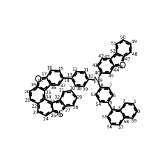 c1ccc2c(-c3ccc(N(c4ccc(-c5ccc6oc7ccc8ccc9sc%10ccccc%10c9c8c7c6c5)cc4)c4ccc5c(c4)oc4ccccc45)cc3)cccc2c1